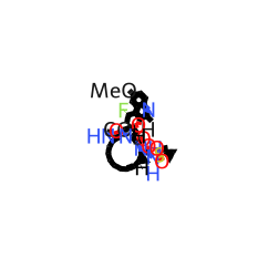 COc1ccc2nc(C)c3c(c2c1)[C@@H](F)C[C@]1(C[C@H]2C(=O)N[C@]4(C(=O)NS(=O)(=O)C5(C)CC5)C[C@H]4/C=C\CCCCC[C@H](NC(=O)O)C(=O)N2C1)O3